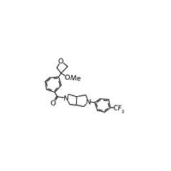 COC1(c2cccc(C(=O)N3CC4CN(c5ccc(C(F)(F)F)cc5)CC4C3)c2)COC1